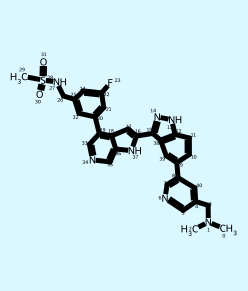 CN(C)Cc1cncc(-c2ccc3[nH]nc(-c4cc5c(-c6cc(F)cc(CNS(C)(=O)=O)c6)cncc5[nH]4)c3c2)c1